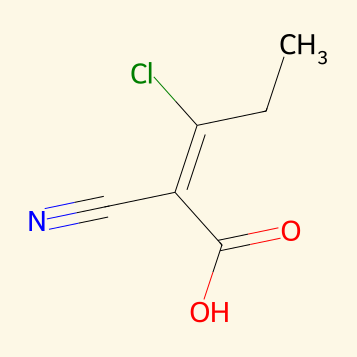 CCC(Cl)=C(C#N)C(=O)O